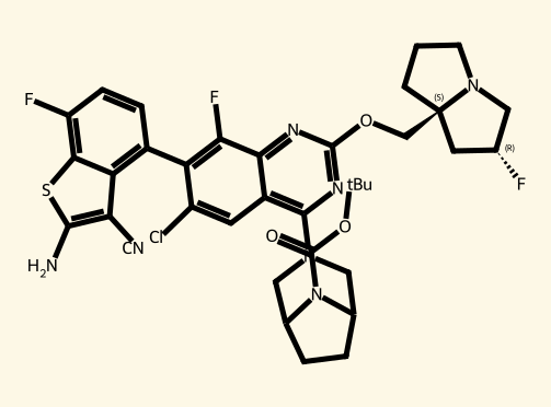 CC(C)(C)OC(=O)N1C2CCC1CN(c1nc(OC[C@@]34CCCN3C[C@H](F)C4)nc3c(F)c(-c4ccc(F)c5sc(N)c(C#N)c45)c(Cl)cc13)C2